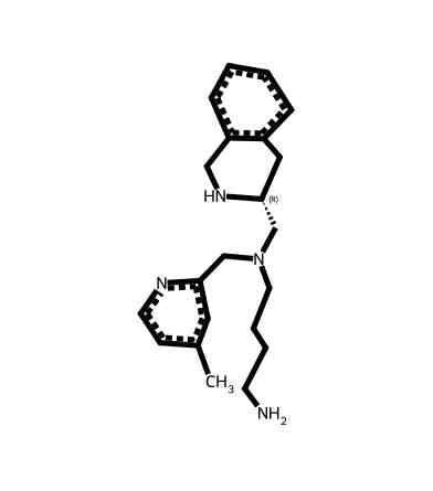 Cc1ccnc(CN(CCCCN)C[C@H]2Cc3ccccc3CN2)c1